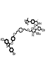 Cc1ncsc1-c1ccc([C@H](C)NC(=O)[C@@H]2C[C@@H](O)CN2C(=O)[C@@H](NC(=O)COCCN2CCN(CCOc3ccc(Oc4c(-c5ccc(Br)cc5)sc5cc(O)ccc45)cc3)CC2)C(C)(C)C)cc1